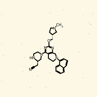 CN1CC[C@@H](COc2nc3c(c(N4CCN[C@H](CC#N)C4)n2)CCN(c2cccc4ccccc24)C3)C1